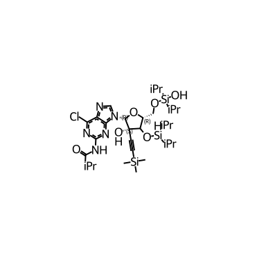 CC(C)C(=O)Nc1nc(Cl)c2ncn([C@@H]3O[C@H](CO[Si](O)(C(C)C)C(C)C)C(O[SiH](C(C)C)C(C)C)[C@@]3(O)C#C[Si](C)(C)C)c2n1